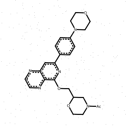 CC(=O)N1CCOC(COc2nc(-c3ccc(N4CCOCC4)cc3)cc3nccnc23)C1